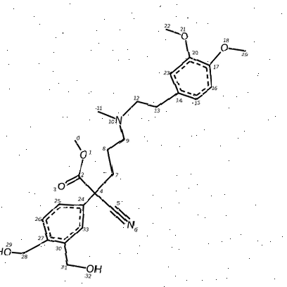 COC(=O)C(C#N)(CCCN(C)CCc1ccc(OC)c(OC)c1)c1ccc(CO)c(CO)c1